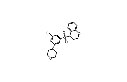 O=S(=O)(c1cc(Cl)nc(N2CCOCC2)c1)C1CCOc2ccccc21